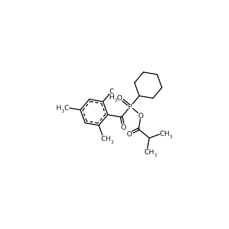 Cc1cc(C)c(C(=O)P(=O)(OC(=O)C(C)C)C2CCCCC2)c(C)c1